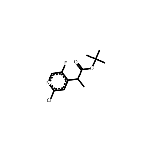 CC(C(=O)OC(C)(C)C)c1cc(Cl)ncc1F